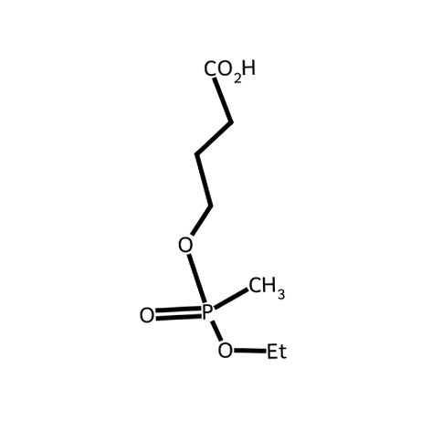 CCOP(C)(=O)OCCCC(=O)O